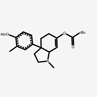 CCCCC(=O)OC1=CC2N(C)CCC2(c2ccc(OC)c(C)c2)CC1